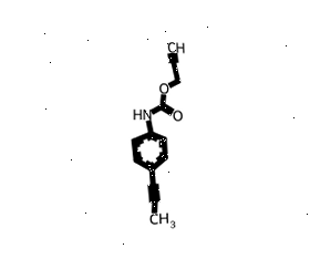 C#CCOC(=O)Nc1ccc(C#CC)cc1